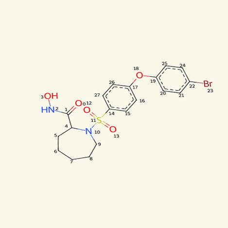 O=C(NO)C1CCCCCN1S(=O)(=O)c1ccc(Oc2ccc(Br)cc2)cc1